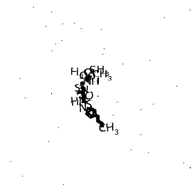 CCCCc1ccc2nc(NC(=O)c3csc(CNC(=O)OC(C)(C)C)n3)sc2c1